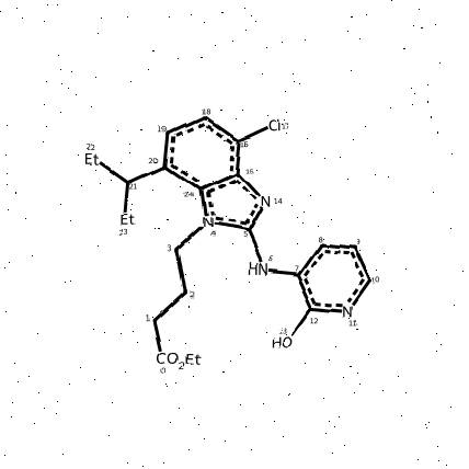 CCOC(=O)CCCn1c(Nc2cccnc2O)nc2c(Cl)ccc(C(CC)CC)c21